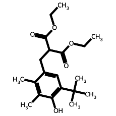 CCOC(=O)C(Cc1cc(C(C)(C)C)c(O)c(C)c1C)C(=O)OCC